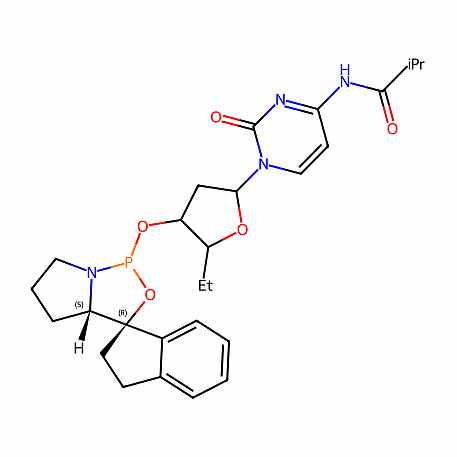 CCC1OC(n2ccc(NC(=O)C(C)C)nc2=O)CC1OP1O[C@@]2(CCc3ccccc32)[C@@H]2CCCN21